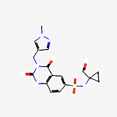 Cn1cc(Cn2c(=O)[nH]c3ccc(S(=O)(=O)NC4(C=O)CC4)cc3c2=O)cn1